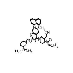 C=CC(=O)N1CCN(c2nc(OCC3CCCC(N(C)C)C3)nc3c2CCN(c2cccc4cccc(C)c24)C3)CC1CC#N